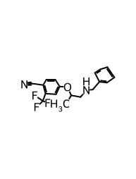 CC(CNCc1ccccc1)Oc1ccc(C#N)c(C(F)(F)F)c1